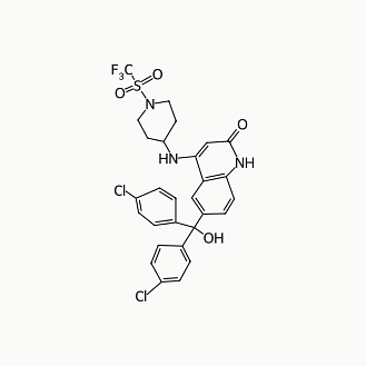 O=c1cc(NC2CCN(S(=O)(=O)C(F)(F)F)CC2)c2cc(C(O)(c3ccc(Cl)cc3)c3ccc(Cl)cc3)ccc2[nH]1